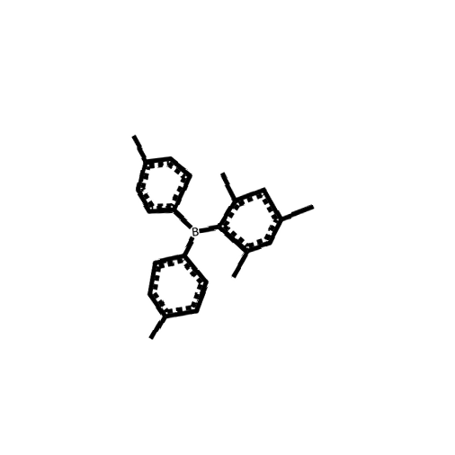 Cc1ccc(B(c2ccc(C)cc2)c2c(C)cc(C)cc2C)cc1